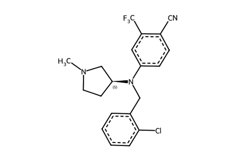 CN1CC[C@H](N(Cc2ccccc2Cl)c2ccc(C#N)c(C(F)(F)F)c2)C1